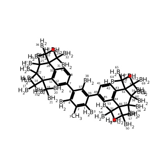 Bc1c(C)c(B)c(-c2ccc3c(c2)C(C(B)(B)B)(C(B)(B)B)C(B)(B)C(B)(B)C3(C(B)(B)B)C(B)(B)B)c(B)c1-c1ccc2c(c1)C(C(B)(B)B)(C(B)(B)B)C(B)(B)C(B)(B)C2(C(B)(B)B)C(B)(B)B